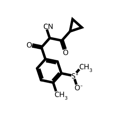 Cc1ccc(C(=O)C(C#N)C(=O)C2CC2)cc1[S+](C)[O-]